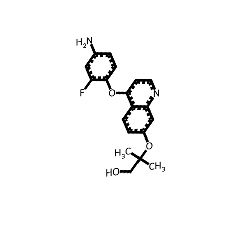 CC(C)(CO)Oc1ccc2c(Oc3ccc(N)cc3F)ccnc2c1